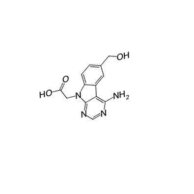 Nc1ncnc2c1c1cc(CO)ccc1n2CC(=O)O